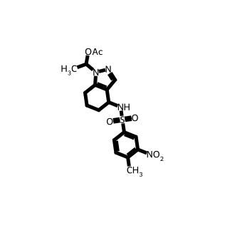 CC(=O)OC(C)n1ncc2c1CCCC2NS(=O)(=O)c1ccc(C)c([N+](=O)[O-])c1